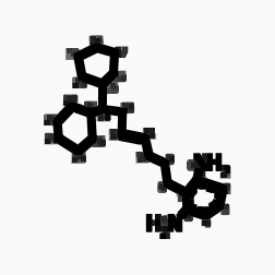 Nc1cccc(N)c1CCCC=CCC(C1CCCCC1)C1CCCCC1